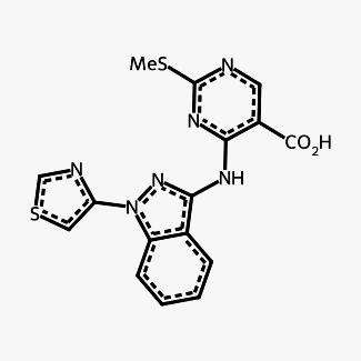 CSc1ncc(C(=O)O)c(Nc2nn(-c3cscn3)c3ccccc23)n1